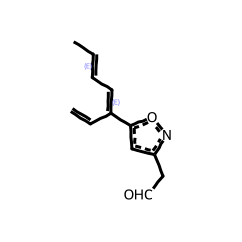 C=C/C(=C\C=C\C)c1cc(CC=O)no1